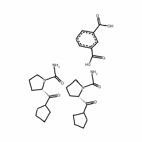 NC(=O)N1CCC[C@H]1C(=O)C1CCCC1.NC(=O)N1CCC[C@H]1C(=O)C1CCCC1.O=C(O)c1cccc(C(=O)O)c1